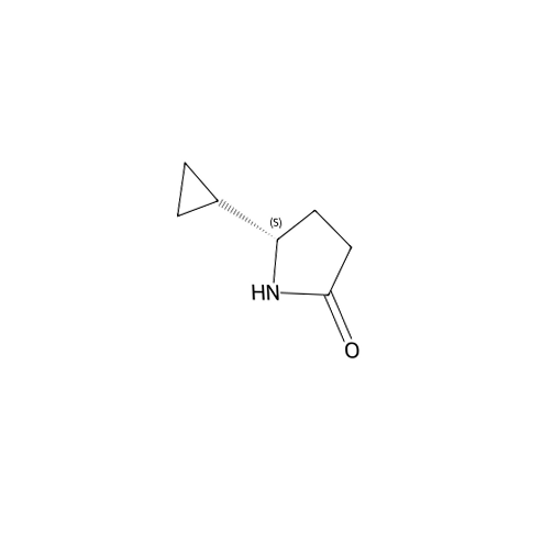 O=C1CC[C@@H](C2CC2)N1